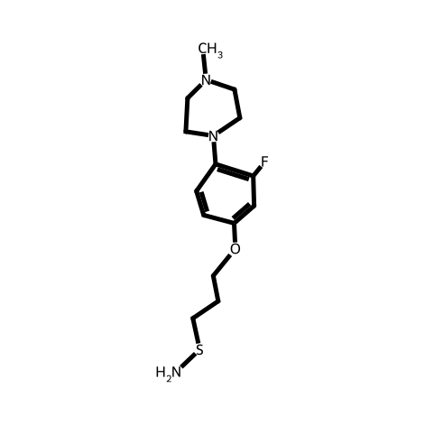 CN1CCN(c2ccc(OCCCSN)cc2F)CC1